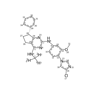 [2H]C([2H])([2H])Nc1nc(Nc2ccc(-n3cnc(Cl)c3)c(OC)c2)nc2c1CC[C@@H]2c1ccccc1